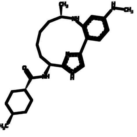 CNc1ccc2c(c1)N[C@@H](C)CCCC[C@H](NC(=O)[C@H]1CC[C@H](C)CC1)c1nc-2c[nH]1